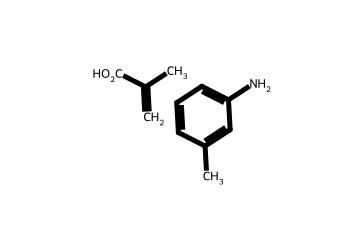 C=C(C)C(=O)O.Cc1cccc(N)c1